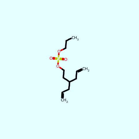 C=CCC(CC=C)CCOS(=O)(=O)OCCC